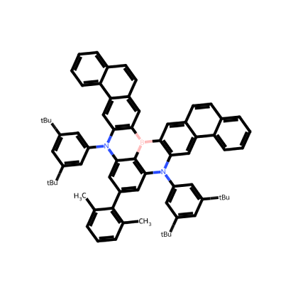 Cc1cccc(C)c1-c1cc2c3c(c1)N(c1cc(C(C)(C)C)cc(C(C)(C)C)c1)c1cc4c(ccc5ccccc54)cc1B3c1cc3ccc4ccccc4c3cc1N2c1cc(C(C)(C)C)cc(C(C)(C)C)c1